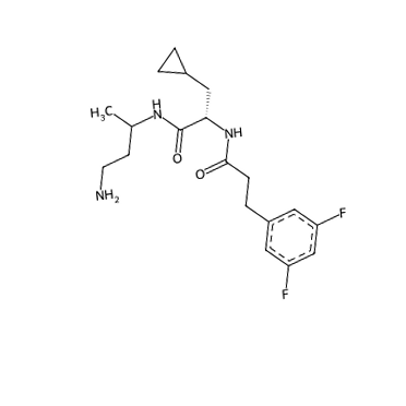 CC(CCN)NC(=O)[C@H](CC1CC1)NC(=O)CCc1cc(F)cc(F)c1